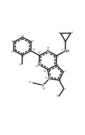 CCc1cc2c(NC3CC3)nc(-c3ccccc3C)nc2n1SI